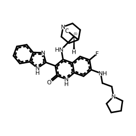 O=c1[nH]c2cc(NCCN3CCCC3)c(F)cc2c(N[C@@H]2CN3CCC2CC3)c1-c1nc2ccccc2[nH]1